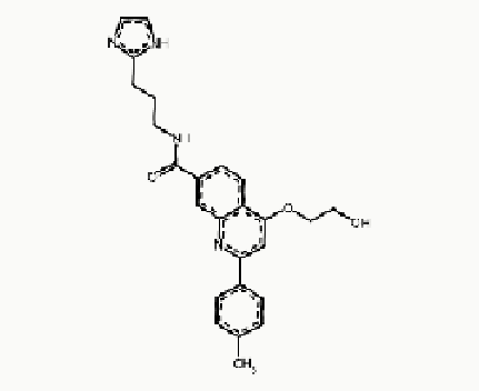 Cc1ccc(-c2cc(OCCO)c3ccc(C(=O)NCCCc4ncc[nH]4)cc3n2)cc1